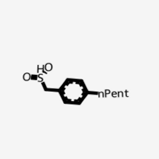 CC[CH]CCc1ccc(C[SH](=O)=O)cc1